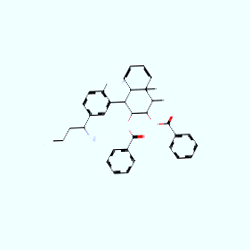 CCCC(N)c1ccc(C)c(C2C(OC(=O)c3ccccc3)C(OC(=O)c3ccccc3)C(C)C3(C)C=CC=CC23)c1